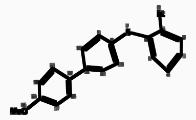 CCc1ccccc1Sc1ccc(-c2ccc(OC)cc2)cc1